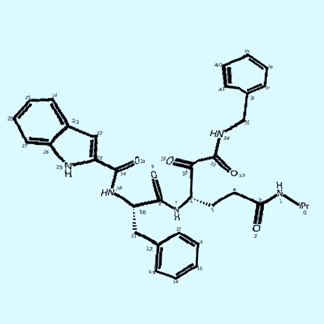 CC(C)NC(=O)CC[C@H](NC(=O)[C@H](Cc1ccccc1)NC(=O)c1cc2ccccc2[nH]1)C(=O)C(=O)NCc1ccccc1